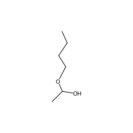 CCCCOC(C)O